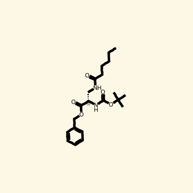 CCCCCC(=O)NC[C@H](NC(=O)OC(C)(C)C)C(=O)OCc1ccccc1